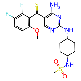 COc1ccc(F)c(F)c1C(=S)c1cnc(N[C@H]2CC[C@H](NS(C)(=O)=O)CC2)nc1N